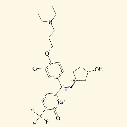 CCN(CC)CCCOc1ccc(/C(=C\[C@H]2CCC(O)C2)c2ccc(C(F)(F)F)c(=O)[nH]2)cc1Cl